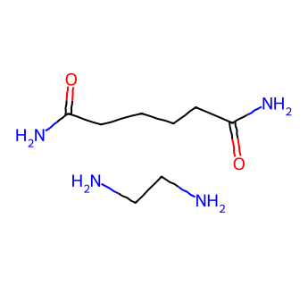 NC(=O)CCCCC(N)=O.NCCN